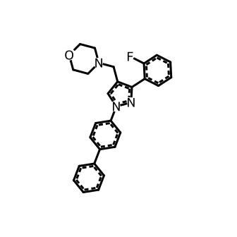 Fc1ccccc1-c1nn(-c2ccc(-c3ccccc3)cc2)cc1CN1CCOCC1